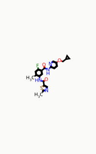 Cc1ncc(C(=O)Nc2cc(C(=O)Nc3ccc(OCC4CC4)cn3)c(F)cc2C)s1